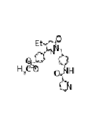 CCC1CC(=O)N(Cc2ccc(NC(=O)c3cccnc3)cc2)N=C1c1ccc(S(C)(=O)=O)cc1